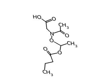 CCCC(=O)OC(C)ON(CC(=O)O)C(C)=O